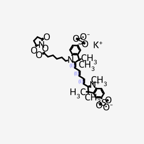 C[N+]1=C(/C=C/C=C/C=C2/N(CCCCCC(=O)ON3C(=O)CCC3=O)c3ccc(S(=O)(=O)[O-])cc3C2(C)C)C(C)(C)c2cc(S(=O)(=O)[O-])ccc21.[K+]